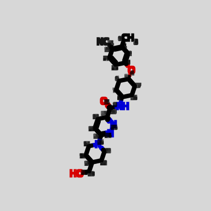 Cc1cc(O[C@H]2CC[C@H](NC(=O)c3ccc(N4CCC(CO)CC4)nn3)CC2)ccc1C#N